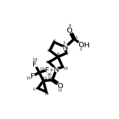 O=C(O)N1CCC2(C1)CN(C(=O)C1(C(F)(F)F)CC1)C2